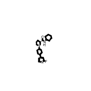 O=C(NC1CCCCC1)[C@H]1CCCN(c2ccc(-c3ccnc(F)c3)cc2)C1